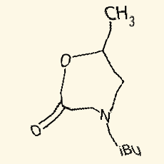 CCC(C)N1CC(C)OC1=O